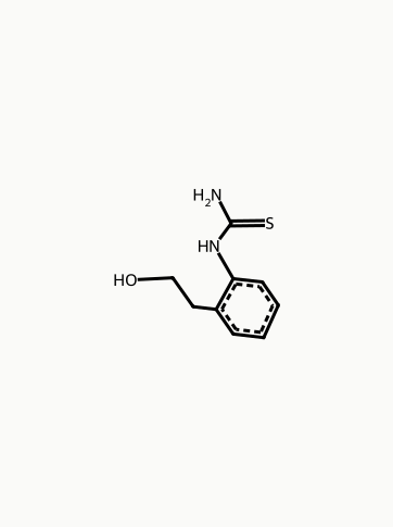 NC(=S)Nc1ccccc1CCO